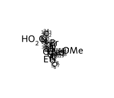 CCN(Cc1ccccc1)C(=O)[C@H](Cc1ccc(OC)cc1)Nc1nc2c(Br)cc(CN(Cc3ccccc3)C(=O)O)c(C)c2c(=O)o1